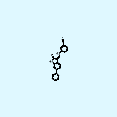 N#Cc1cccc(NC=C2C(=O)Nc3cc(-c4ccccc4)ccc32)c1